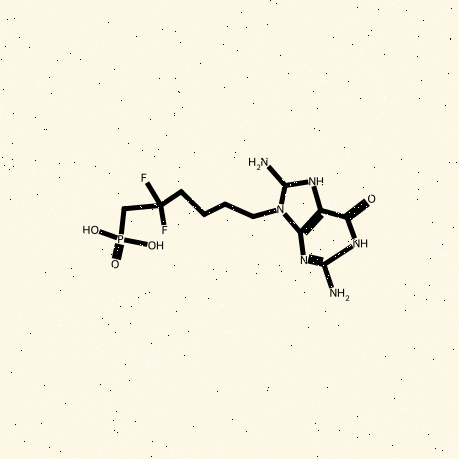 Nc1nc2c(c(=O)[nH]1)NC(N)N2CCCCC(F)(F)CP(=O)(O)O